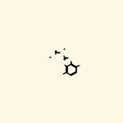 CN(C(=O)OC(C)(C)C)c1nc2c(Br)ccc(F)c2s1